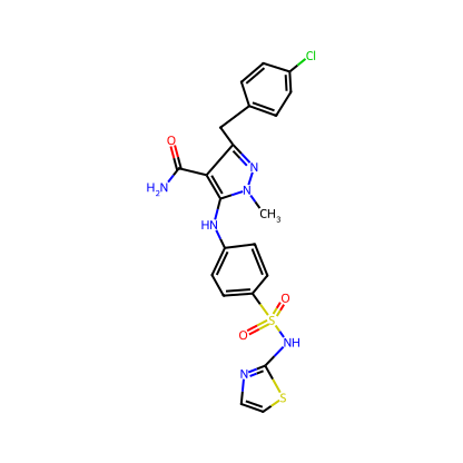 Cn1nc(Cc2ccc(Cl)cc2)c(C(N)=O)c1Nc1ccc(S(=O)(=O)Nc2nccs2)cc1